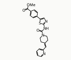 COC(=O)c1ccc(-c2cnc(NC(=O)N3CCC(=Cc4ccccn4)CC3)s2)cc1